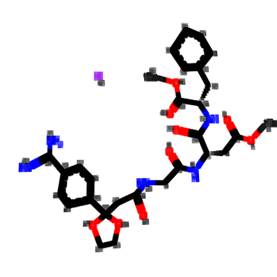 CC(C)(C)OC(=O)C[C@H](NC(=O)CNC(=O)CC1(c2ccc(C(=N)N)cc2)OCCO1)C(=O)N[C@@H](Cc1ccccc1)C(=O)OC(C)(C)C.I